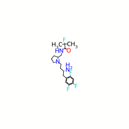 CC(C)(F)C(=O)NCC1CCCN1CC[C@H](N)Cc1cc(F)c(F)cc1F